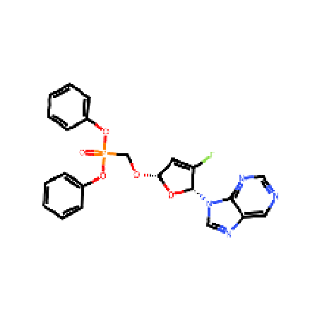 O=P(CO[C@@H]1C=C(F)[C@H](n2cnc3cncnc32)O1)(Oc1ccccc1)Oc1ccccc1